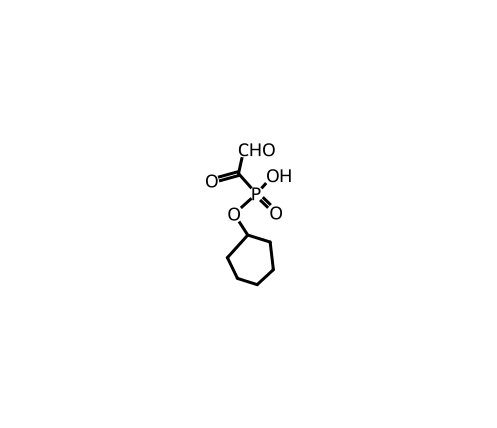 O=CC(=O)P(=O)(O)OC1CCCCC1